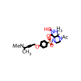 CNC(C)C#CCOc1ccc(S(=O)(=O)N2CCN(C(C)=O)C(C)C2C(=O)NO)cc1